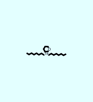 C1CCOCC1.CCCCCCCC[Te]CCCCCCCC